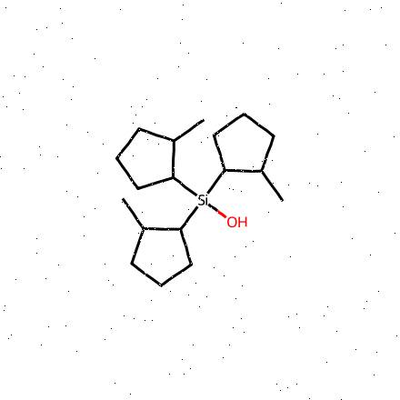 CC1CCCC1[Si](O)(C1CCCC1C)C1CCCC1C